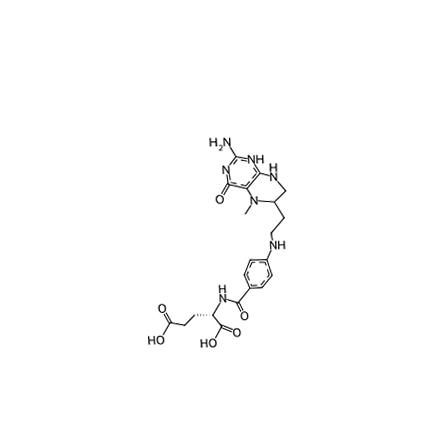 CN1c2c([nH]c(N)nc2=O)NCC1CCNc1ccc(C(=O)N[C@@H](CCC(=O)O)C(=O)O)cc1